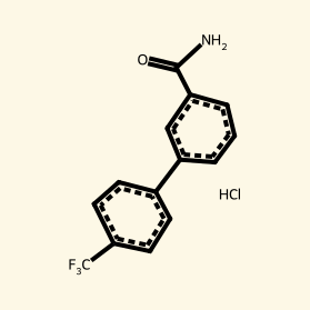 Cl.NC(=O)c1cccc(-c2ccc(C(F)(F)F)cc2)c1